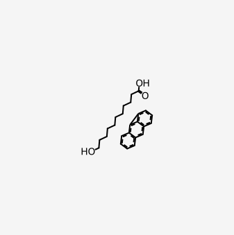 O=C(O)CCCCCCCCCCO.c1ccc2c3c4c-3cccc4cc2c1